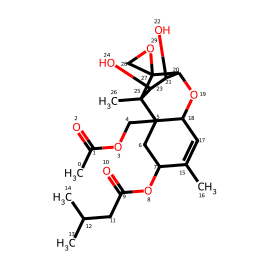 CC(=O)OCC12CC(OC(=O)CC(C)C)C(C)=CC1OC1C(O)C(O)C2(C)C12CO2